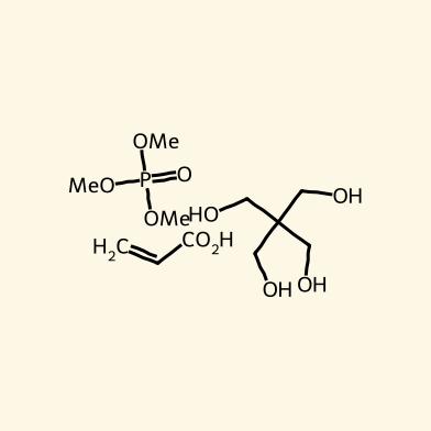 C=CC(=O)O.COP(=O)(OC)OC.OCC(CO)(CO)CO